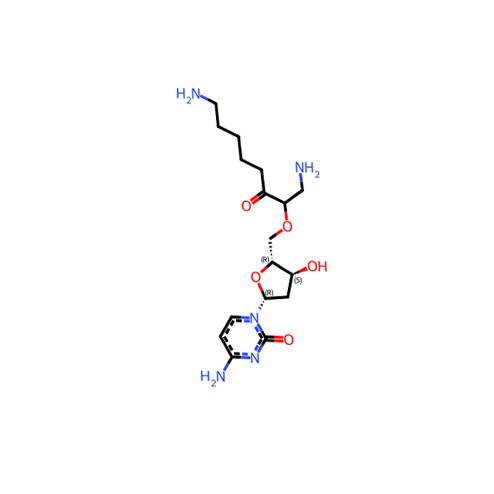 NCCCCCC(=O)C(CN)OC[C@H]1O[C@@H](n2ccc(N)nc2=O)C[C@@H]1O